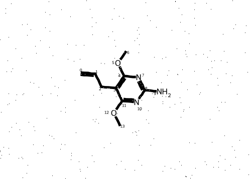 C=CCc1c(OC)nc(N)nc1OC